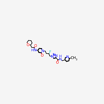 Cc1ccc(CNC(=O)c2cn(CC(F)CCn3ccc(NC(=O)CC4CCCCO4)cc3=O)nn2)cn1